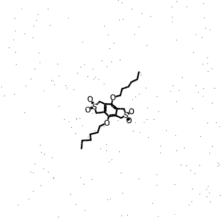 CCCCCCOc1c2c(c(OCCCCCC)c3c1CS(=O)(=O)C3)CS(=O)(=O)C2